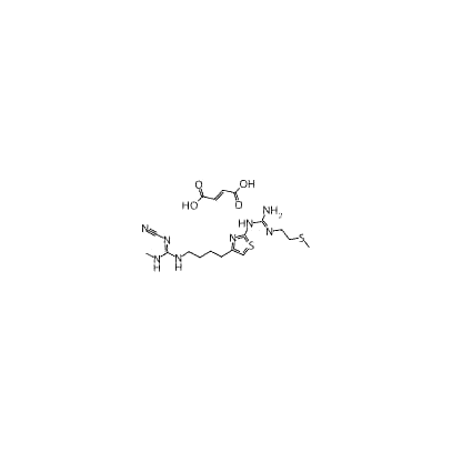 CNC(=NC#N)NCCCCc1csc(NC(N)=NCCSC)n1.O=C(O)C=CC(=O)O